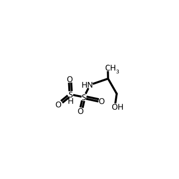 CC(CO)NS(=O)(=O)[SH](=O)=O